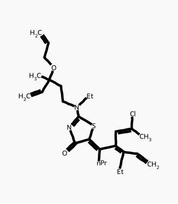 C=CCOC(C)(C=C)CCN(CC)C1=NC(=O)/C(=C(CCC)/C(/C=C(\C)Cl)=C(/C=C)CC)S1